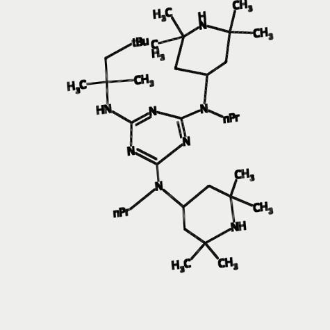 CCCN(c1nc(NC(C)(C)CC(C)(C)C)nc(N(CCC)C2CC(C)(C)NC(C)(C)C2)n1)C1CC(C)(C)NC(C)(C)C1